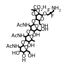 CC(=O)NC1C(OC2C(O)C(C)OC(OC3C(O)C(CO)OC(OC4C(CO)OC(OCC(F)(F)CN)C5O[C@@](C)(C(=O)O)OC45)C3NC(C)=O)C2NC(C)=O)OC(CO)C(O)C1O